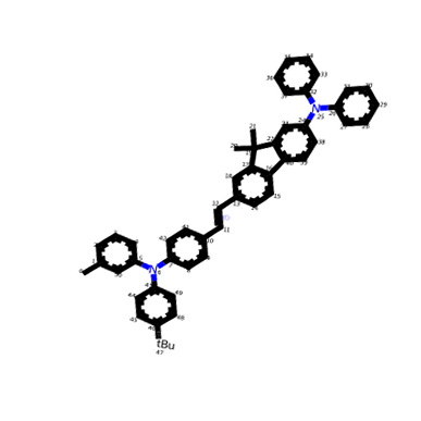 Cc1cccc(N(c2ccc(/C=C/c3ccc4c(c3)C(C)(C)c3cc(N(c5ccccc5)c5ccccc5)ccc3-4)cc2)c2ccc(C(C)(C)C)cc2)c1